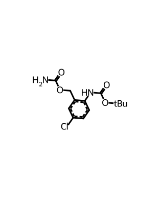 CC(C)(C)OC(=O)Nc1ccc(Cl)cc1COC(N)=O